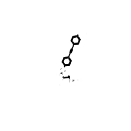 Cc1ccc(C#Cc2ccc(S(=O)(=O)N[C@@H](C)C(=O)NO)cc2)cc1